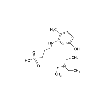 CCN(CC)CC.Cc1ccc(O)cc1NCCCS(=O)(=O)O